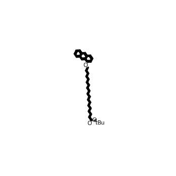 CC(C)(C)OC(=O)CCCCCCCCCCCCCCCCCCOc1cccc2cc3ccccc3cc12